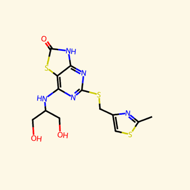 Cc1nc(CSc2nc(NC(CO)CO)c3sc(=O)[nH]c3n2)cs1